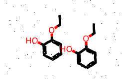 CCOc1ccccc1O.CCOc1ccccc1O